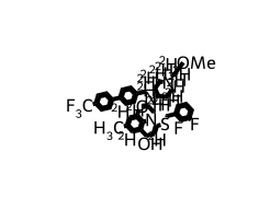 [2H]C1=C(SCc2cccc(F)c2F)N(CC(=O)N(Cc2ccc(-c3ccc(C(F)(F)F)cc3)cc2)C2([2H])C([2H])([2H])C([2H])([2H])N(C([2H])([2H])C([2H])([2H])OC)C([2H])([2H])C2([2H])[2H])c2c([2H])c([2H])c(C)c([2H])c2C1O